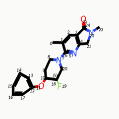 Cc1cc2c(nc1N1CCC(Oc3ccccc3)[C@@H](F)C1)CN(C)C2=O